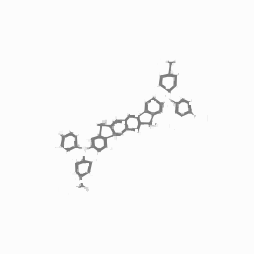 Cc1ccc(N(c2ccc(C(C)C)cc2)c2ccc3c(c2)C(C)(C)c2cc4cc5c(cc4cc2-3)C(C)(C)c2cc(N(c3ccc(C)cc3)c3ccc(C(C)C)cc3)ccc2-5)cc1